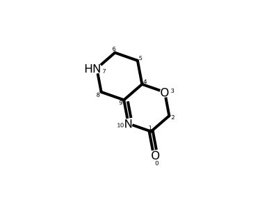 O=C1COC2CCNCC2=N1